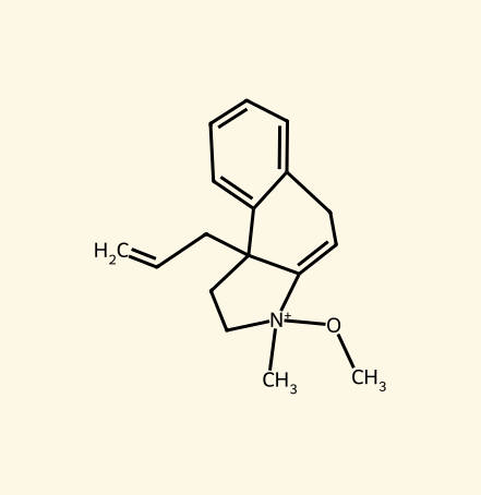 C=CCC12CC[N+](C)(OC)C1=CCc1ccccc12